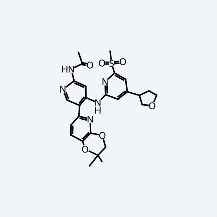 CC(=O)Nc1cc(Nc2cc(C3CCOC3)cc(S(C)(=O)=O)n2)c(-c2ccc3c(n2)OCC(C)(C)O3)cn1